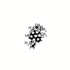 COc1c[nH]c(=O)c(C(C[C@H](C)OC)C(=O)OC(C)(C)C)c1-c1cc(Cl)ccc1OCC(F)(F)F